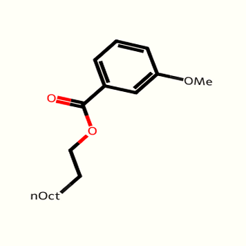 CCCCCCCCCCOC(=O)c1cccc(OC)c1